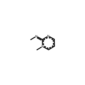 C/N=c1/ncccn1C